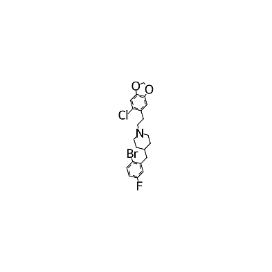 Fc1ccc(Br)c(CC2CCN(CCc3cc4c(cc3Cl)OCO4)CC2)c1